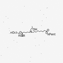 CCCCCCCCC(CCCCCCCC)OC(=O)CCCCN(CCCCCCCCC(=O)OCCCCC)CC(C)O